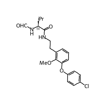 COc1c(CCNC(=O)[C@@H](NC=O)C(C)C)cccc1Oc1ccc(Cl)cc1